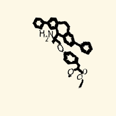 CCOC(=O)C(Cc1ccc(OCC(C)(N)C2c3ccc(-c4ccccc4)cc3CCc3ccc(-c4ccccc4)cc32)cc1)OC